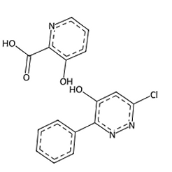 O=C(O)c1ncccc1O.Oc1cc(Cl)nnc1-c1ccccc1